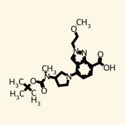 COCCn1cc2c(N3CCC(N(C)C(=O)OC(C)(C)C)C3)ccc(C(=O)O)c2n1